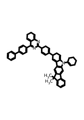 CC1(C)c2ccccc2-c2cc3c(cc21)c1c(n3C2=CCCCC2)=CCC(C2=CCC(c3nc(-c4ccc(-c5ccccc5)cc4)c4c(n3)=CCCC=4)C=C2)C=1